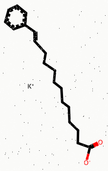 O=C([O-])CCCCCCCCCCC=Cc1ccccc1.[K+]